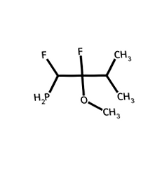 COC(F)(C(C)C)C(F)P